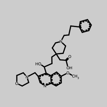 COc1ccc2ncc(CN3CCOCC3)c(C(O)CCC3(CC(=O)O)CCN(CCCc4ccccc4)CC3)c2c1